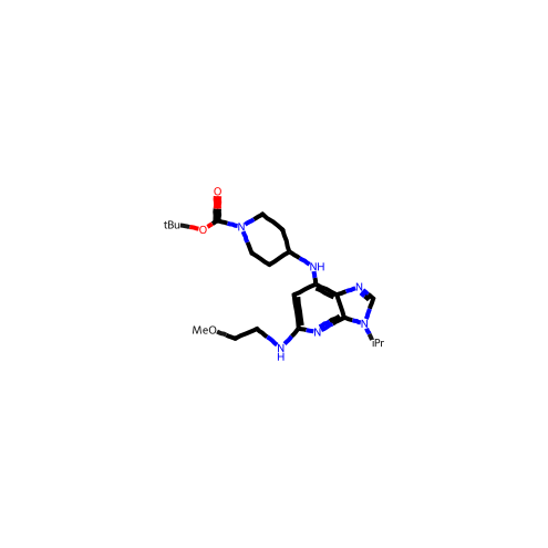 COCCNc1cc(NC2CCN(C(=O)OC(C)(C)C)CC2)c2ncn(C(C)C)c2n1